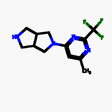 Cc1cc(N2CC3CNCC3C2)nc(C(F)(F)F)n1